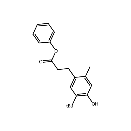 Cc1cc(O)c(C(C)(C)C)cc1CCC(=O)Oc1ccccc1